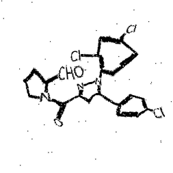 O=[C]C1CCCN1C(=O)C1=NN(c2ccc(Cl)cc2Cl)C(c2ccc(Cl)cc2)C1